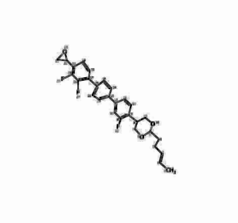 C/C=C/CCC1OCC(c2ccc(-c3ccc(-c4ccc(C5CO5)c(F)c4F)cc3)cc2F)CO1